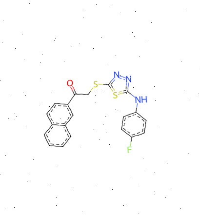 O=C(CSc1nnc(Nc2ccc(F)cc2)s1)c1ccc2ccccc2c1